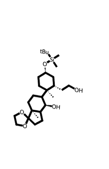 CC(C)(C)[Si](C)(C)O[C@H]1CC[C@](C)(C2CC[C@@]3(C)C(CCC34OCCO4)[C@@H]2O)[C@@H](CCO)C1